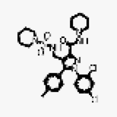 Cc1ccc(-c2c(CNS(=O)(=O)N3CCCCC3)c(C(=O)NN3CCCCC3)nn2-c2ccc(Cl)cc2Cl)cc1